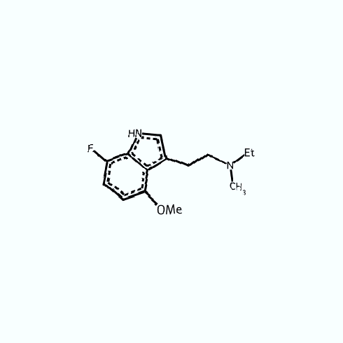 CCN(C)CCc1c[nH]c2c(F)ccc(OC)c12